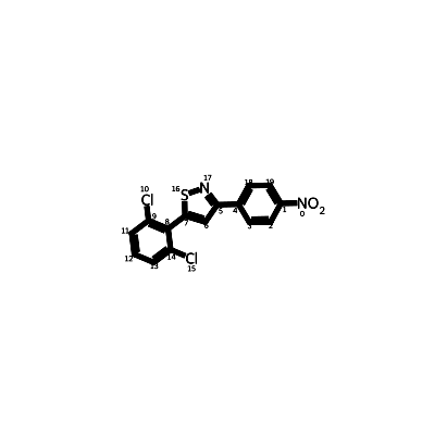 O=[N+]([O-])c1ccc(-c2cc(-c3c(Cl)cccc3Cl)sn2)cc1